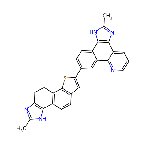 Cc1nc2c([nH]1)-c1ccc3cc(-c4ccc5c(c4)c4ncccc4c4nc(C)[nH]c54)sc3c1CC2